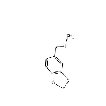 CSCc1ccc2c(c1)CCO2